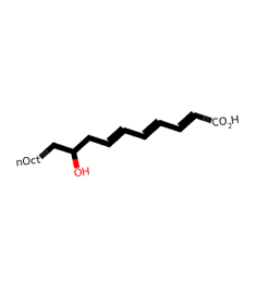 CCCCCCCCCC(O)CC=CC=CC=CC(=O)O